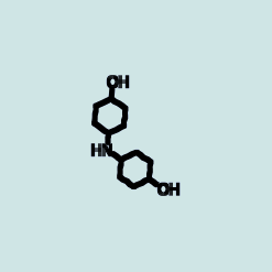 OC1CCC(NC2CCC(O)CC2)CC1